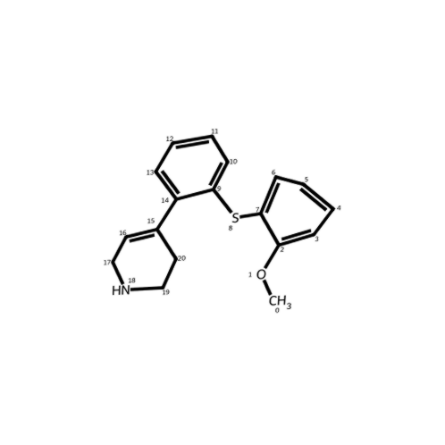 COc1ccccc1Sc1ccccc1C1=CCNCC1